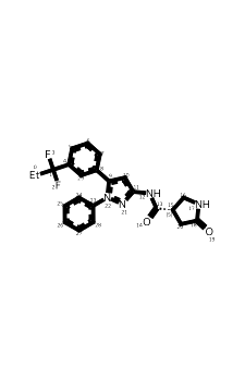 CCC(F)(F)c1cccc(-c2cc(NC(=O)[C@@H]3CNC(=O)C3)nn2-c2ccccc2)c1